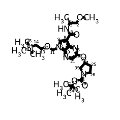 COC[C@H](C)NC(=O)c1cn(COCC[Si](C)(C)C)c2ncc(O[C@@H]3CCN(C(=O)OC(C)(C)C)C3)nc12